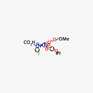 COCCOCCOC[C@H]1C[C@@H](n2nc(CC(=O)O)c3ccc(F)cc32)CN1S(=O)(=O)c1ccc(OC(C)C)cc1